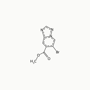 COC(=O)c1cc2ncnn2cc1Br